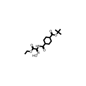 CCOC(=O)C(=NO)NC(=O)C1CCC(C(=O)OC(C)(C)C)CC1